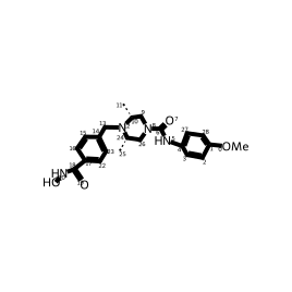 COc1ccc(NC(=O)N2C[C@@H](C)N(Cc3ccc(C(=O)NO)cc3)[C@@H](C)C2)cc1